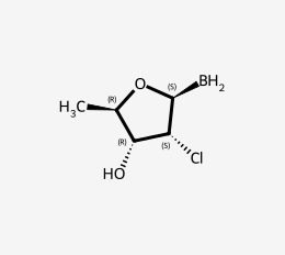 B[C@@H]1O[C@H](C)[C@@H](O)[C@H]1Cl